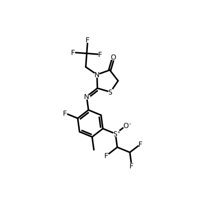 Cc1cc(F)c(N=C2SCC(=O)N2CC(F)(F)F)cc1[S+]([O-])C(F)C(F)F